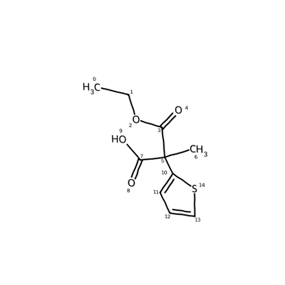 CCOC(=O)C(C)(C(=O)O)c1cccs1